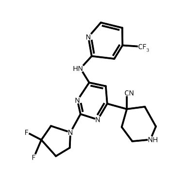 N#CC1(c2cc(Nc3cc(C(F)(F)F)ccn3)nc(N3CCC(F)(F)C3)n2)CCNCC1